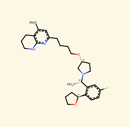 COc1cc(CCCCO[C@@H]2CCN([C@@H](C(=O)O)c3cc(F)ccc3[C@@H]3CCCO3)C2)nc2c1CCCN2